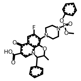 COP(=O)(Oc1ccccc1)N1CCN(c2c(F)cc3c(=O)c(C(=O)O)cn4c3c2OC(C)C4c2ccccc2)CC1